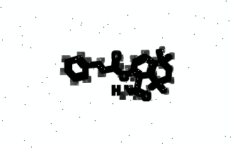 CC1(C)CCC(C)(C)c2c1ccc(OC(=O)CCc1ccccc1)c2C(N)=O